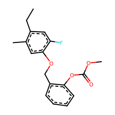 CCc1cc(F)c(OCc2ccccc2OC(=O)OC)cc1C